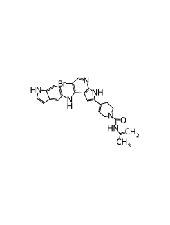 C=C(C)NC(=O)N1CC=C(c2cc3c(Nc4ccc5[nH]ccc5c4)c(Br)cnc3[nH]2)CC1